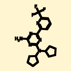 Nc1nc(-c2cccc(C(F)(F)F)n2)nc(N(C2CCCC2)C2CCCC2)n1